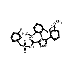 COc1cccc(-c2nnc(C(=O)NS(=O)(=O)Cc3cccc(F)c3)n2-c2c(OC)cccc2OC)n1